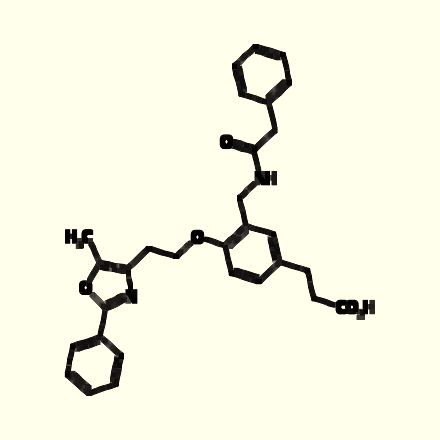 Cc1oc(-c2ccccc2)nc1CCOc1ccc(CCC(=O)O)cc1CNC(=O)Cc1ccccc1